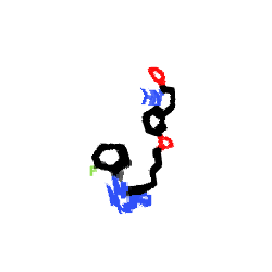 O=C1CCc2cc(OCCCCc3nnnn3[C@H]3CCCC[C@@H]3F)ccc2N1